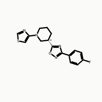 Fc1ccc(-c2noc([C@H]3CCCN(c4cs[c]n4)C3)n2)cc1